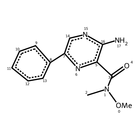 CON(C)C(=O)c1nc(-c2ccccc2)cnc1N